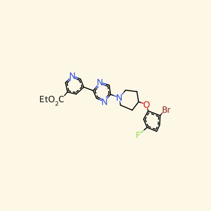 CCOC(=O)c1cncc(-c2cnc(N3CCC(Oc4cc(F)ccc4Br)CC3)cn2)c1